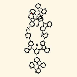 CC(C)(C)c1ccc2c(c1)c1ccccc1n2-c1cc(-c2cccc3c2[Si]2(c4ccncc4-c4cnccc42)c2ccccc2-3)cc(-n2c3ccccc3c3cc(C(C)(C)Cc4ccc(-c5ccc6c(c5)c5ccccc5n6-c5cc(-c6ccc7c(c6)-c6ccccc6C76c7cccnc7-c7ncccc76)cc(-n6c7ccccc7c7cc(-c8ccccc8)ccc76)c5C#N)cc4)ccc32)c1C#N